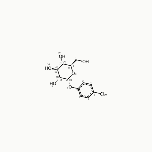 OC[C@H]1O[C@H](Oc2ccc(Cl)cc2)[C@H](O)[C@@H](O)[C@@H]1O